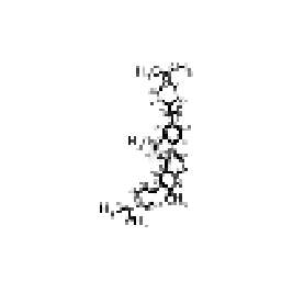 Cc1nc2ncnc(N[C@H](C)c3cccc(C(F)(F)C4CCN(C(C)C)CC4)c3)c2cc1C1CCN(C(C)C)CC1